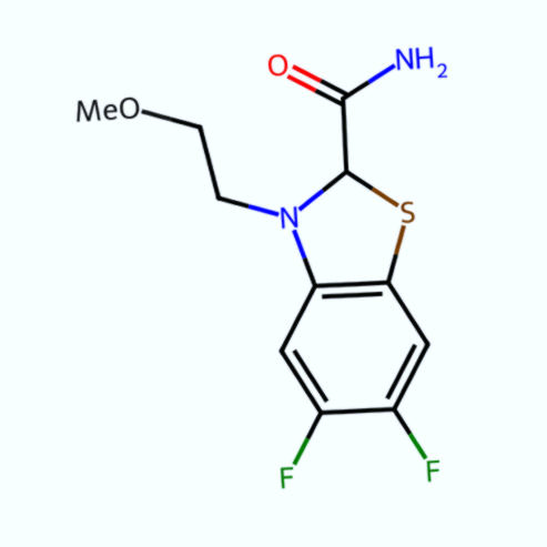 COCCN1c2cc(F)c(F)cc2SC1C(N)=O